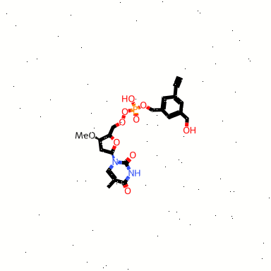 C#Cc1cc(CO)cc(COP(=O)(O)OOCC2O[C@@H](n3cc(C)c(=O)[nH]c3=O)C[C@H]2OC)c1